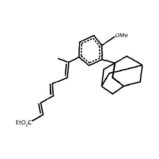 CCOC(=O)C=CC=CC=C(C)c1ccc(OC)c(C23CC4CC(CC(C4)C2)C3)c1